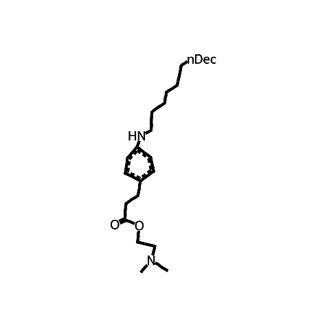 CCCCCCCCCCCCCCCCNc1ccc(CCC(=O)OCCN(C)C)cc1